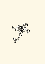 CCOc1ccc(CC[C@H]2CCC(=O)N2)cc1CC(=O)N[C@H](C(=O)N[C@@H](CC(=O)O)C(=O)CSCc1ccccc1)C(C)C